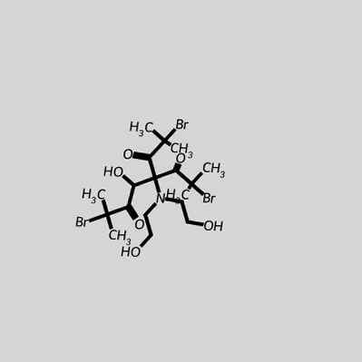 CC(C)(Br)C(=O)C(O)C(C(=O)C(C)(C)Br)(C(=O)C(C)(C)Br)N(CCO)CCO